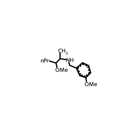 CCCC(OC)C(C)NCc1cccc(OC)c1